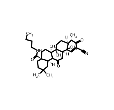 CCCCNC(=O)[C@]12CCC(C)(C)C[C@@H]1C1C(=O)C[C@@H]3[C@@]4(C)C=C(C#N)C(=O)[C@@H](C)[C@@H]4CC[C@@]3(C)[C@]1(C)CC2